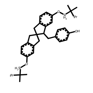 CC(C)C(C)(C)[SiH2]Oc1ccc2c(c1)CC1(C2)Cc2ccc(O[SiH2]C(C)(C)C(C)C)cc2C1Cc1ccc(O)cc1